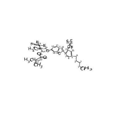 CCCCCc1ccc(-c2cc3ccc(OCC(C)(COC(=O)C(C)C)C(F)(F)F)cc3o2)c(OC(F)(F)F)c1